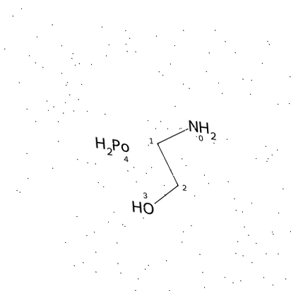 NCCO.[PoH2]